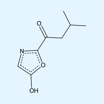 CC(C)CC(=O)c1ncc(O)o1